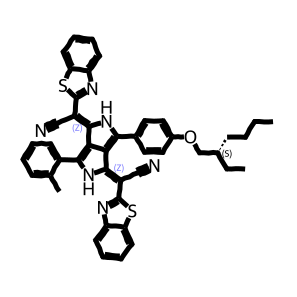 CCCC[C@H](CC)COc1ccc(-c2[nH]/c(=C(/C#N)c3nc4ccccc4s3)c3c(-c4ccccc4C)[nH]/c(=C(/C#N)c4nc5ccccc5s4)c23)cc1